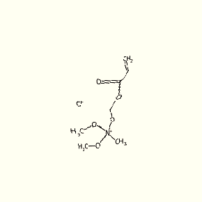 C=CC(=O)OCO[N+](C)(OC)OC.[Cl-]